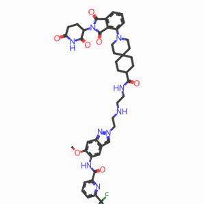 COc1cc2nn(CCNCCNC(=O)C3CCC4(CC3)CCN(c3cccc5c3C(=O)N(C3CCC(=O)NC3=O)C5=O)CC4)cc2cc1NC(=O)c1cccc(C(F)(F)F)n1